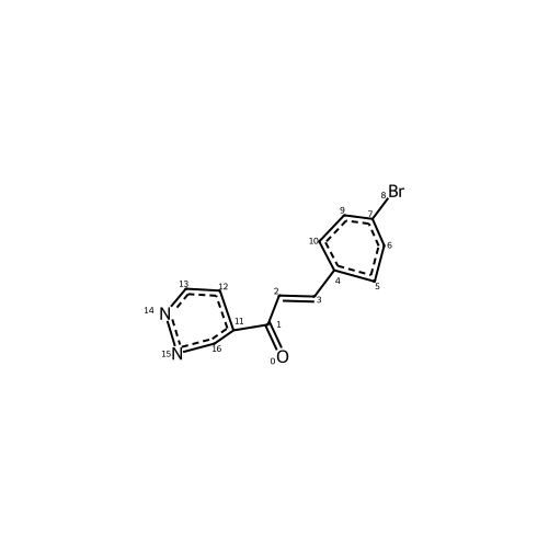 O=C(C=Cc1ccc(Br)cc1)c1ccnnc1